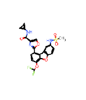 CS(=O)(=O)Nc1ccc2oc3c(OC(F)F)ccc(-c4nc(C(=O)NC5CC5)co4)c3c2c1